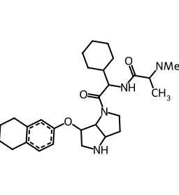 CNC(C)C(=O)NC(C(=O)N1CCC2NCC(Oc3ccc4c(c3)CCCC4)C21)C1CCCCC1